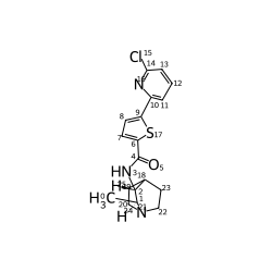 C[C@H]1[C@H](NC(=O)c2ccc(-c3cccc(Cl)n3)s2)C2CCN1CC2